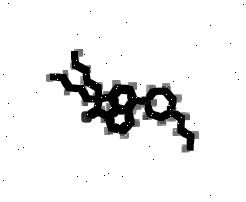 CCCCCC1(CCCCC)C(=O)c2cccc3c(N4CCCN(CCCC)CC4)ccc1c23